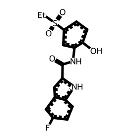 CCS(=O)(=O)c1ccc(O)c(NC(=O)c2cc3cc(F)ccc3[nH]2)c1